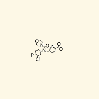 COC(=O)c1ccc(CN(C(=O)N2CCOCC2)c2ccc(F)c(Cl)c2)cn1